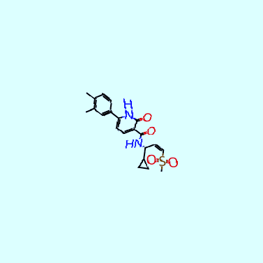 Cc1ccc(-c2ccc(C(=O)N[C@H](/C=C\S(C)(=O)=O)C3CC3)c(=O)[nH]2)cc1C